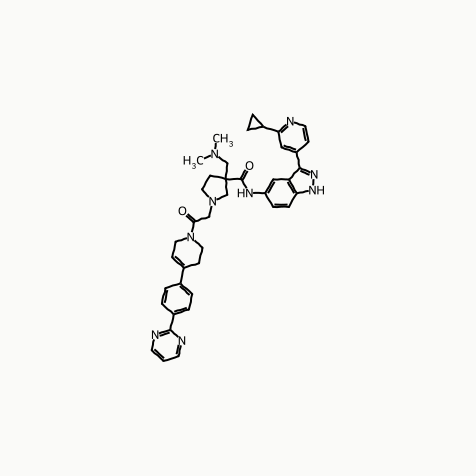 CN(C)CC1(C(=O)Nc2ccc3[nH]nc(-c4ccnc(C5CC5)c4)c3c2)CCN(CC(=O)N2CC=C(c3ccc(-c4ncccn4)cc3)CC2)C1